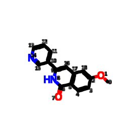 COc1ccc2c(=O)[nH]c(-c3cccnc3)cc2c1